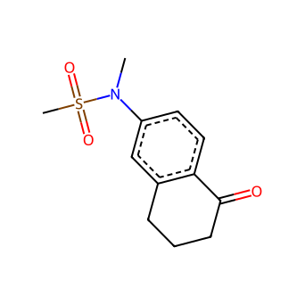 CN(c1ccc2c(c1)CCCC2=O)S(C)(=O)=O